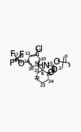 CC(C)(C)OC(=O)NC1(c2cc(Cl)cc(OC(F)(F)F)c2)CCCCC1=O